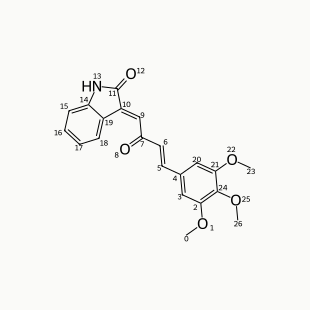 COc1cc(/C=C/C(=O)/C=C2/C(=O)Nc3ccccc32)cc(OC)c1OC